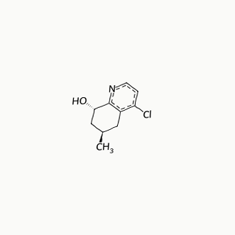 C[C@@H]1Cc2c(Cl)ccnc2[C@@H](O)C1